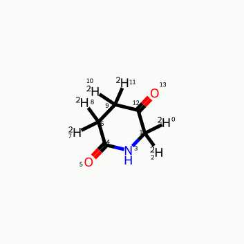 [2H]C1([2H])NC(=O)C([2H])([2H])C([2H])([2H])C1=O